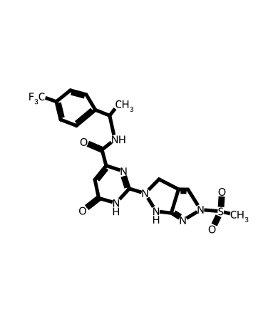 CC(NC(=O)c1cc(=O)[nH]c(N2Cc3cn(S(C)(=O)=O)nc3N2)n1)c1ccc(C(F)(F)F)cc1